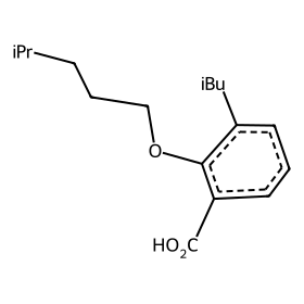 CCC(C)c1cccc(C(=O)O)c1OCCCC(C)C